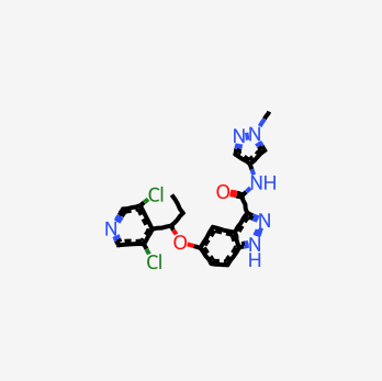 CCC(Oc1ccc2[nH]nc(C(=O)Nc3cnn(C)c3)c2c1)c1c(Cl)cncc1Cl